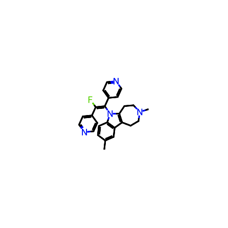 Cc1ccc2c(c1)c1c(n2/C(=C(/F)c2ccncc2)c2ccncc2)CCN(C)CC1